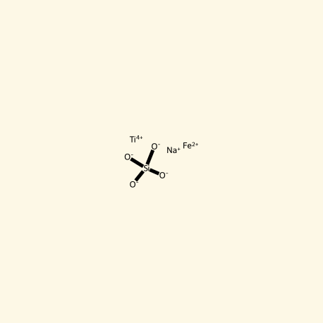 [Fe+2].[Na+].[O-][Si]([O-])([O-])[O-].[Ti+4]